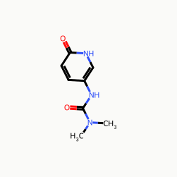 CN(C)C(=O)Nc1ccc(=O)[nH]c1